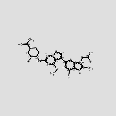 COc1nc(N[C@@H]2CCN(C(C)=O)C[C@@H]2F)nn2ccc(-c3cc(F)c4nc(C)n(CC(F)F)c4c3)c12